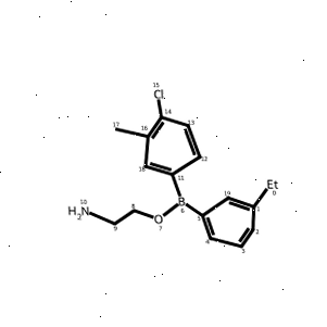 CCc1cccc(B(OCCN)c2ccc(Cl)c(C)c2)c1